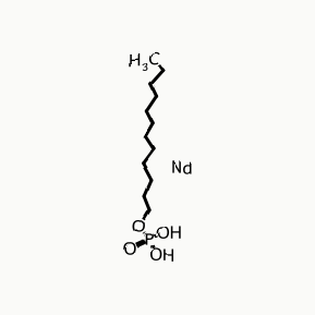 CCCCCCCCCCCCOP(=O)(O)O.[Nd]